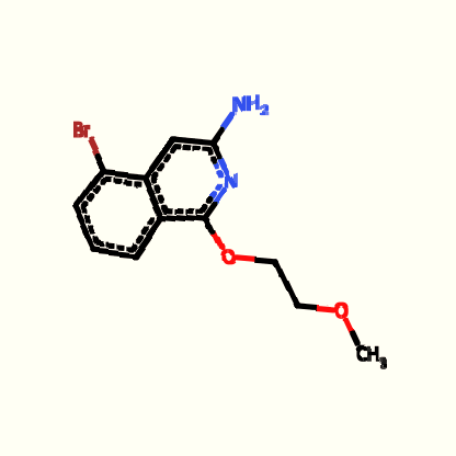 COCCOc1nc(N)cc2c(Br)cccc12